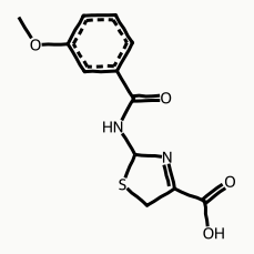 COc1cccc(C(=O)NC2N=C(C(=O)O)CS2)c1